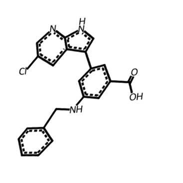 O=C(O)c1cc(NCc2ccccc2)cc(-c2c[nH]c3ncc(Cl)cc23)c1